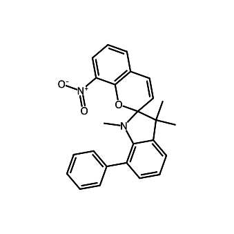 CN1c2c(-c3ccccc3)cccc2C(C)(C)C12C=Cc1cccc([N+](=O)[O-])c1O2